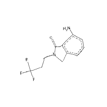 Nc1cccc2c1C(=O)N(CCC(F)(F)F)C2